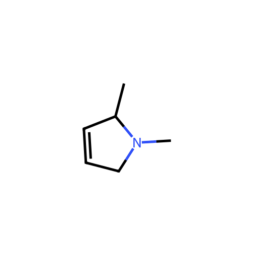 CC1C=CCN1C